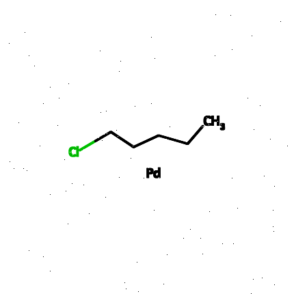 CCCCCCl.[Pd]